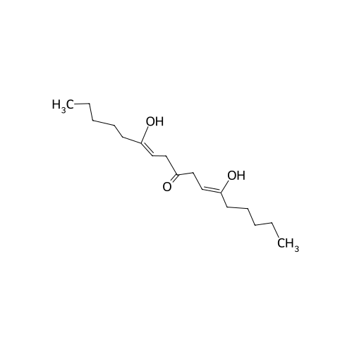 CCCCCC(O)=CCC(=O)CC=C(O)CCCCC